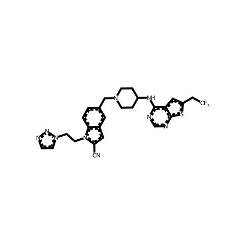 N#Cc1cc2cc(CN3CCC(Nc4ncnc5sc(CC(F)(F)F)cc45)CC3)ccc2n1CCn1ccnn1